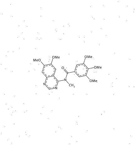 COc1cc2ncnc(N(C)C(=O)c3cc(OC)c(OC)c(OC)c3)c2cc1OC